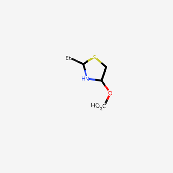 CCC1NC(OC(=O)O)CS1